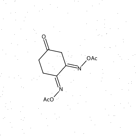 CC(=O)ON=C1CCC(=O)CC1=NOC(C)=O